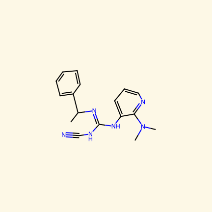 CC(N=C(NC#N)Nc1cccnc1N(C)C)c1ccccc1